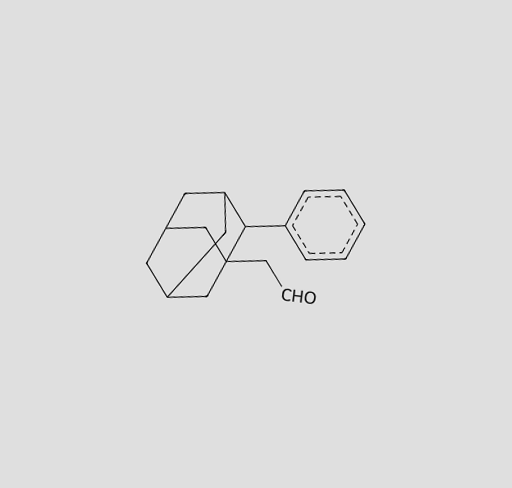 O=CCC12CC3CC(CC(C3)C1c1ccccc1)C2